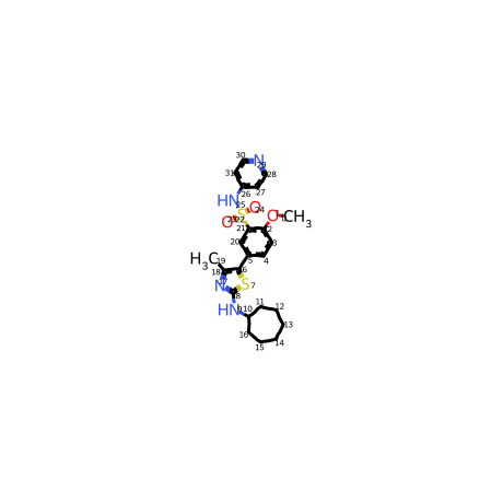 COc1ccc(-c2sc(NC3CCCCCC3)nc2C)cc1S(=O)(=O)Nc1ccncc1